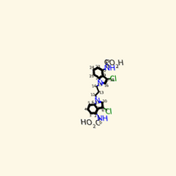 O=C(O)Nc1cccc2c1c(Cl)cn2CCCn1cc(Cl)c2c(NC(=O)O)cccc21